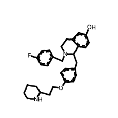 Oc1ccc2c(c1)CCN(Cc1ccc(F)cc1)C2Cc1ccc(OCCC2CCCCN2)cc1